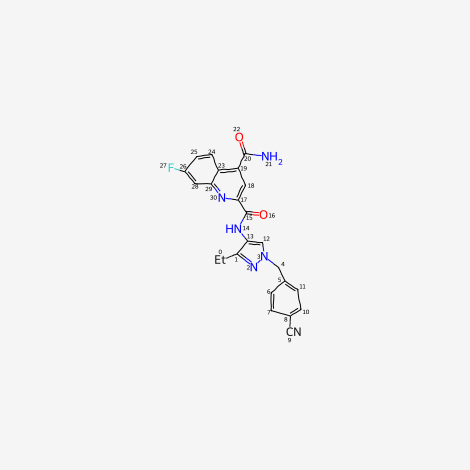 CCc1nn(Cc2ccc(C#N)cc2)cc1NC(=O)c1cc(C(N)=O)c2ccc(F)cc2n1